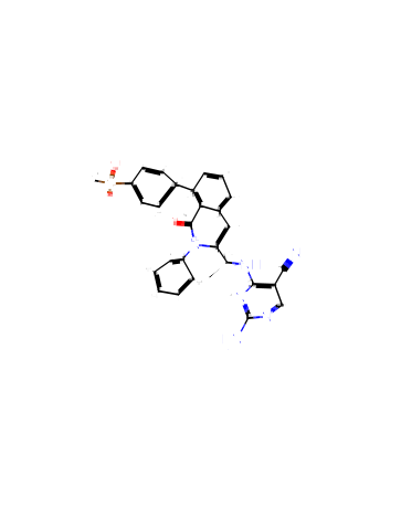 C[C@H](Nc1nc(N)ncc1C#N)c1cc2cccc(-c3ccc(S(C)(=O)=O)cc3)c2c(=O)n1-c1ccccc1